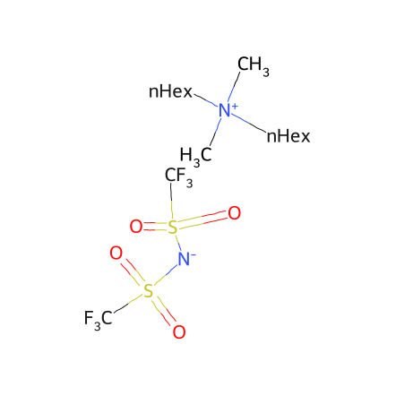 CCCCCC[N+](C)(C)CCCCCC.O=S(=O)([N-]S(=O)(=O)C(F)(F)F)C(F)(F)F